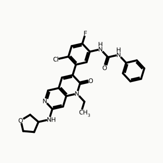 CCn1c(=O)c(-c2cc(NC(=O)Nc3ccccc3)c(F)cc2Cl)cc2cnc(NC3CCOC3)cc21